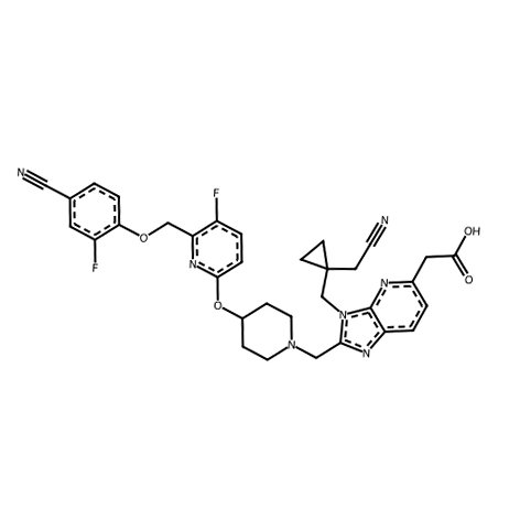 N#CCC1(Cn2c(CN3CCC(Oc4ccc(F)c(COc5ccc(C#N)cc5F)n4)CC3)nc3ccc(CC(=O)O)nc32)CC1